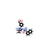 CC(C)C1(I)C=C(NC(=O)Nc2cccc3ccccc23)N(c2cccc(CO)c2)N1